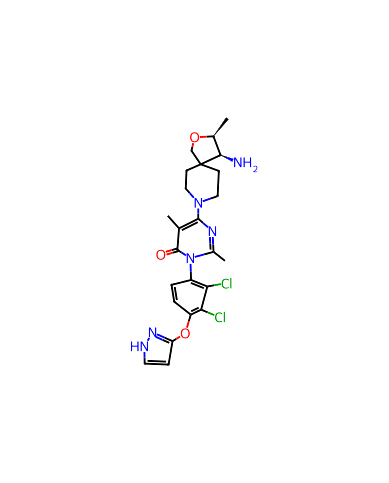 Cc1c(N2CCC3(CC2)CO[C@@H](C)[C@H]3N)nc(C)n(-c2ccc(Oc3cc[nH]n3)c(Cl)c2Cl)c1=O